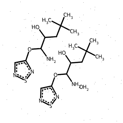 CC(C)(C)CC(O)C(N)Oc1cnsn1.CC(C)(C)CC(O)C(N)Oc1cnsn1.O